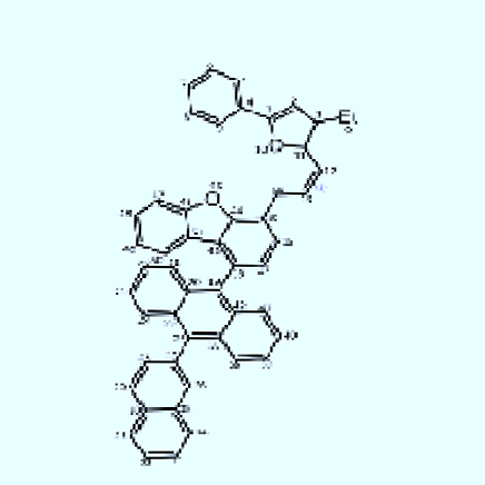 CCC1C=C(c2ccccc2)OC1/C=C\Cc1ccc(-c2c3ccccc3c(-c3ccc4ccccc4c3)c3ccccc23)c2c1oc1ccccc12